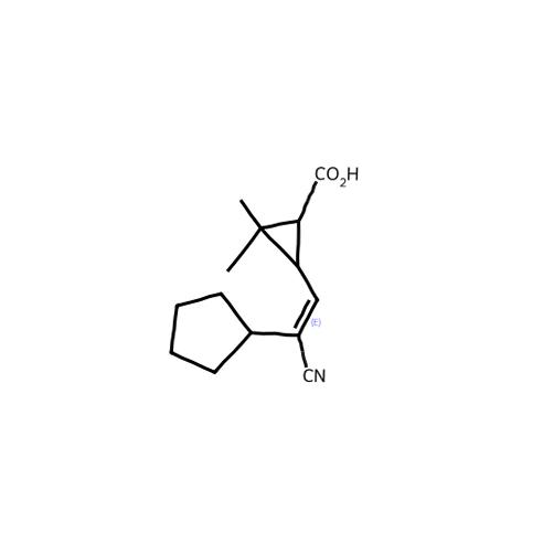 CC1(C)C(/C=C(/C#N)C2CCCC2)C1C(=O)O